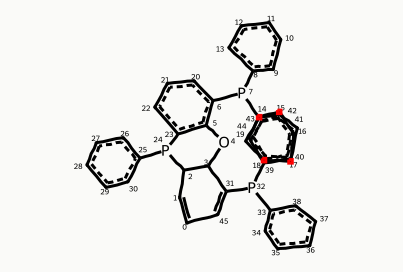 C1=CC2C(Oc3c(P(c4ccccc4)c4ccccc4)cccc3P2c2ccccc2)C(P(c2ccccc2)c2ccccc2)=C1